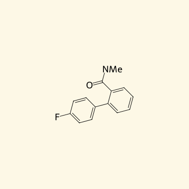 CNC(=O)c1ccccc1-c1ccc(F)cc1